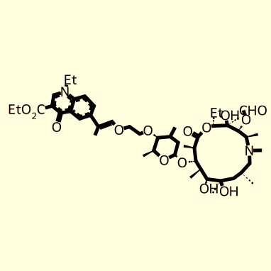 CCOC(=O)c1cn(CC)c2ccc(/C(C)=C/OCCO[C@@H]3C(C)C[C@H](O[C@H]4[C@H](C)[C@@H](O)[C@](C)(O)C[C@@H](C)CN(C)[C@H](C)[C@@H](OC=O)[C@](C)(O)[C@@H](CC)OC(=O)[C@@H]4C)O[C@H]3C)cc2c1=O